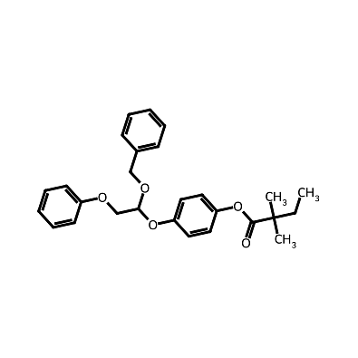 CCC(C)(C)C(=O)Oc1ccc(OC(COc2ccccc2)OCc2ccccc2)cc1